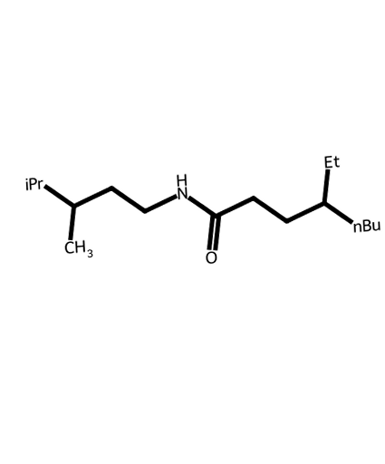 CCCCC(CC)CCC(=O)NCCC(C)C(C)C